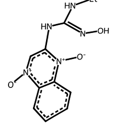 CCNC(=NO)Nc1c[n+]([O-])c2ccccc2[n+]1[O-]